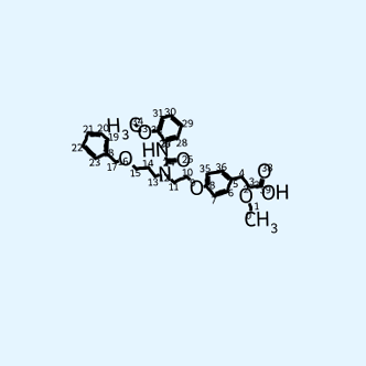 CCOC(Cc1ccc(OCCN(CCCOCc2ccccc2)C(=O)Nc2ccccc2OC)cc1)C(=O)O